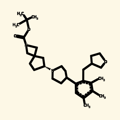 Cc1cc(C2CCN([C@@H]3CCC4(C3)CN(C(=O)OC(C)(C)C)C4)CC2)c(CC2CCOC2)c(C)c1C